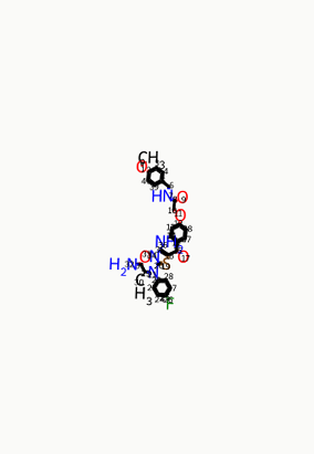 COc1ccc(CNC(=O)COc2ccc(C(=O)c3sc(N(c4ccc(F)cc4)[C@H](C)C(N)=O)nc3N)cc2)cc1